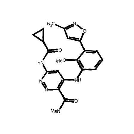 CNC(=O)c1nnc(NC(=O)C2CC2)cc1Nc1cccc(-c2cc(C)no2)c1OC